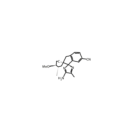 CO[C@H]1CC[C@@]2(Cc3ccc(C#N)cc3[C@@]23N=C(C)C(N)=N3)C[C@@H]1C